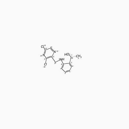 C[C@@H](O)c1ccccc1NCc1ncc(Cl)nc1Cl